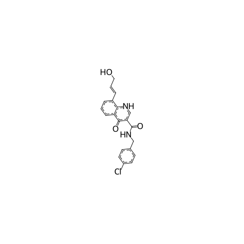 O=C(NCc1ccc(Cl)cc1)c1c[nH]c2c(C=CCO)cccc2c1=O